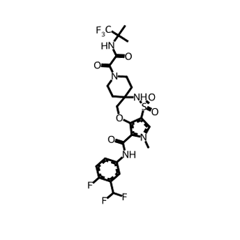 Cn1cc2c(c1C(=O)Nc1ccc(F)c(C(F)F)c1)OCC1(CCN(C(=O)C(=O)NC(C)(C)C(F)(F)F)CC1)NS2(=O)=O